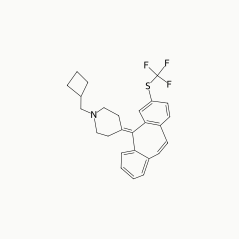 FC(F)(F)Sc1ccc2c(c1)C(=C1CCN(CC3CCC3)CC1)c1ccccc1C=C2